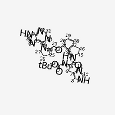 CC(C)(C)OC(=O)N[C@H](Cc1c[nH]cn1)C(=O)N1CCc2cccc(OC[C@H]3CCCN3c3ncnc4[nH]cnc34)c2C1